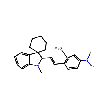 CCN(CC)c1ccc(/C=C/C2N(C)c3ccccc3C23CCCCC3)c(OC)c1